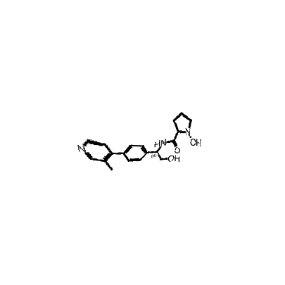 Cc1cnccc1-c1ccc([C@H](CO)NC(=O)C2CCCN2O)cc1